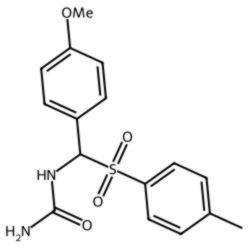 COc1ccc(C(NC(N)=O)S(=O)(=O)c2ccc(C)cc2)cc1